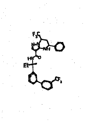 CCC(C)(NC(=O)c1cnn2c1NC(c1ccccc1)CC2C(F)(F)F)c1cccc(-c2cccc(C(F)(F)F)c2)c1